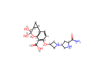 NC(=O)C1CC(N2CC(Oc3ccc4c(c3C(=O)O)O[B-](O)(O)C3CC43)C2)CN1